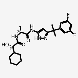 C[C@H](NC(=O)[C@@H](O)C1CCCCC1)C(=O)Nc1cc(C(C)(C)c2cc(F)cc(F)c2)n[nH]1